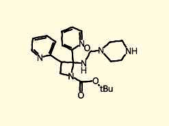 CC(C)(C)OC(=O)N1CC(c2ccccn2)C1(NC(=O)N1CCNCC1)c1ccccn1